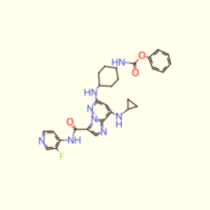 O=C(N[C@H]1CC[C@H](Nc2cc(NC3CC3)c3ncc(C(=O)Nc4ccncc4F)n3n2)CC1)Oc1ccccc1